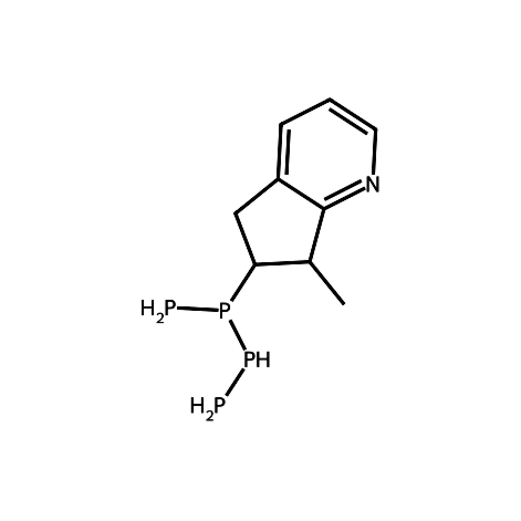 CC1c2ncccc2CC1P(P)PP